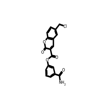 NC(=O)c1cccc(OC(=O)c2cc3cc(CCl)ccc3oc2=O)c1